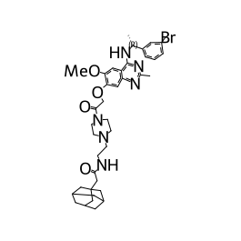 COc1cc2c(N[C@H](C)c3cccc(Br)c3)nc(C)nc2cc1OCC(=O)N1CCN(CCNC(=O)CC23CC4CC(CC(C4)C2)C3)CC1